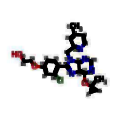 Cc1ccnc(Cn2c(-c3ccc(OCCO)cc3Cl)nc3c(OC4(C)CC4)ncnc32)c1